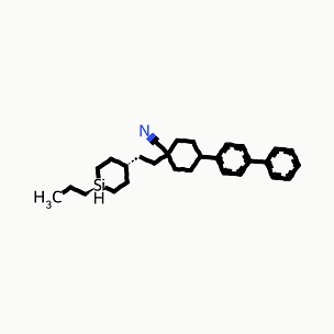 CCC[Si@H]1CC[C@H](CCC2(C#N)CCC(c3ccc(-c4ccccc4)cc3)CC2)CC1